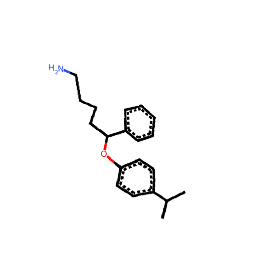 CC(C)c1ccc(OC(CCCCN)c2ccccc2)cc1